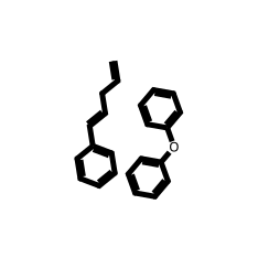 C=CCC=Cc1ccccc1.c1ccc(Oc2ccccc2)cc1